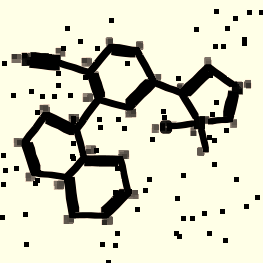 C[N+]1([O-])C=NC=C1c1ccc(C#N)c(-c2cccc3ccccc23)c1